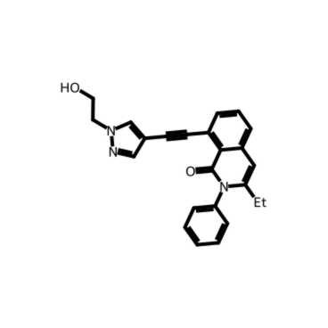 CCc1cc2cccc(C#Cc3cnn(CCO)c3)c2c(=O)n1-c1ccccc1